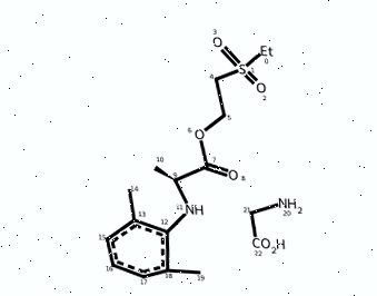 CCS(=O)(=O)CCOC(=O)[C@H](C)Nc1c(C)cccc1C.NCC(=O)O